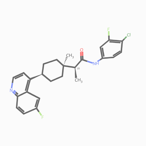 C[C@H](C(=O)Nc1ccc(Cl)c(F)c1)[C@]1(C)CC[C@H](c2ccnc3ccc(F)cc32)CC1